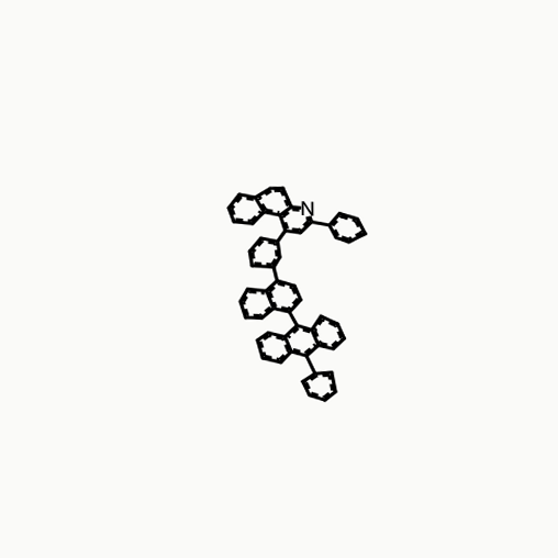 c1ccc(-c2cc(-c3cccc(-c4ccc(-c5c6ccccc6c(-c6ccccc6)c6ccccc56)c5ccccc45)c3)c3c(ccc4ccccc43)n2)cc1